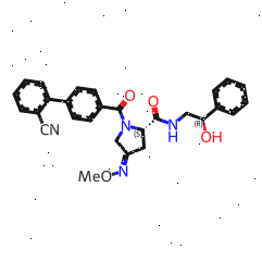 CON=C1C[C@@H](C(=O)NC[C@H](O)c2ccccc2)N(C(=O)c2ccc(-c3ccccc3C#N)cc2)C1